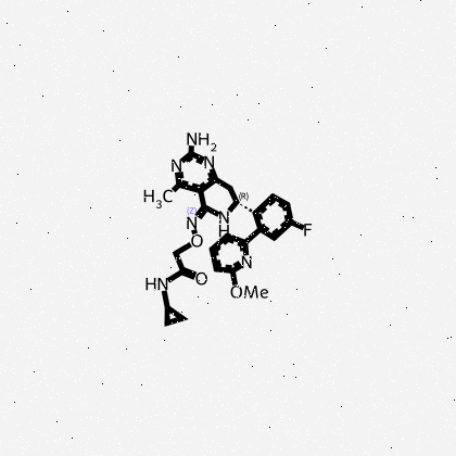 COc1cccc(-c2cc(F)ccc2[C@H]2Cc3nc(N)nc(C)c3/C(=N/OCC(=O)NC3CC3)N2)n1